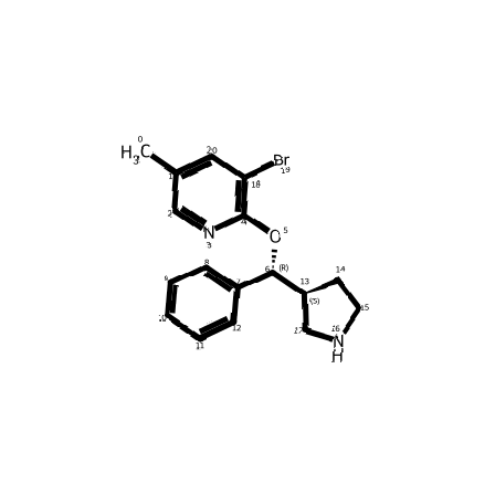 Cc1cnc(O[C@@H](c2ccccc2)[C@H]2CCNC2)c(Br)c1